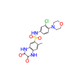 Cc1cc2[nH]c(=O)c(=O)[nH]c2cc1S(=O)(=O)Nc1ccc(N2CCOCC2)c(Cl)c1